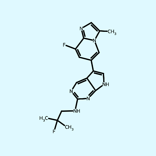 Cc1cnc2c(F)cc(-c3c[nH]c4nc(NCC(C)(C)F)ncc34)cn12